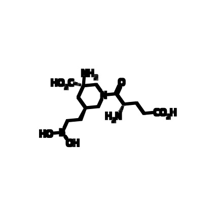 N[C@@H](CCC(=O)O)C(=O)N1C[C@@H](CCB(O)O)C[C@](N)(C(=O)O)C1